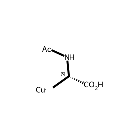 CC(=O)N[C@@H](C)C(=O)O.[Cu]